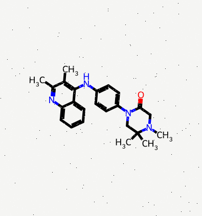 Cc1nc2ccccc2c(Nc2ccc(N3CC(C)(C)N(C)CC3=O)cc2)c1C